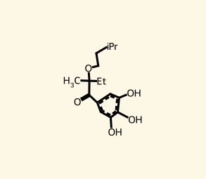 CCC(C)(OCCC(C)C)C(=O)c1cc(O)c(O)c(O)c1